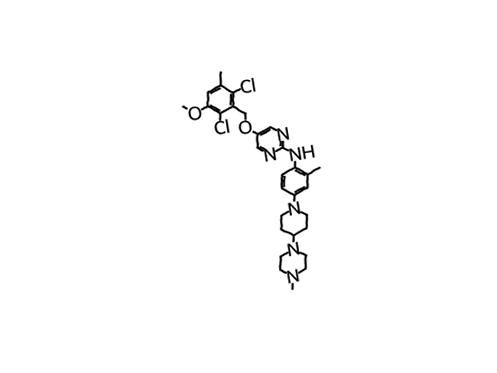 COc1cc(C)c(Cl)c(COc2cnc(Nc3ccc(N4CCC(N5CCN(C)CC5)CC4)cc3C)nc2)c1Cl